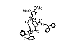 COc1ccc(S(=O)(=O)N[C@@H]2C[C@H](C(=O)NCC3(CCCCO)c4ccccc4Oc4ccccc43)CN(C(=O)OCC3c4ccccc4-c4ccccc43)C2)cc1OC